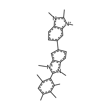 Cc1cc(C)c(-c2n(C)c3ccc(-c4ccc5c(c4)[n+](C)c(C)n5C)cc3[n+]2C)c(C)c1C